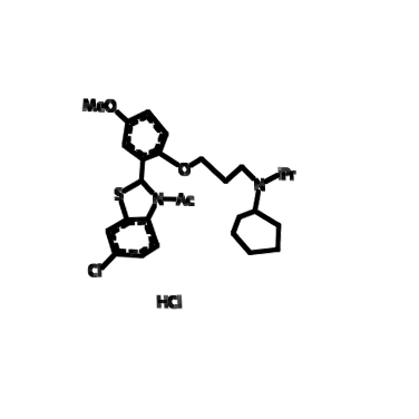 COc1ccc(OCCCN(C(C)C)C2CCCCC2)c(C2Sc3cc(Cl)ccc3N2C(C)=O)c1.Cl